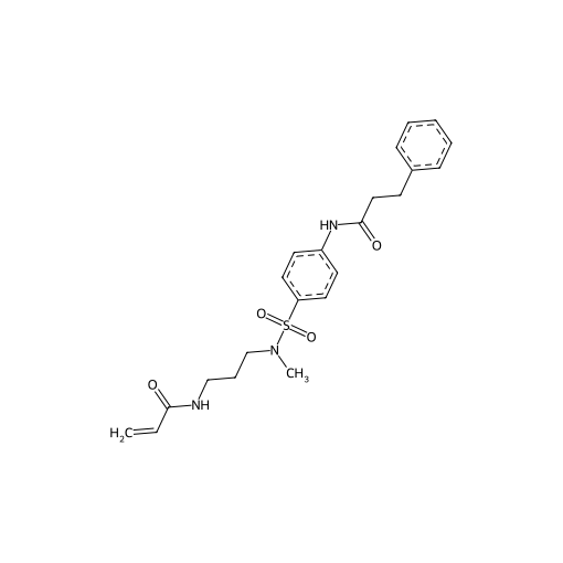 C=CC(=O)NCCCN(C)S(=O)(=O)c1ccc(NC(=O)CCc2ccccc2)cc1